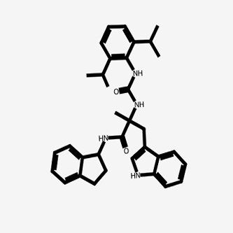 CC(C)c1cccc(C(C)C)c1NC(=O)NC(C)(Cc1c[nH]c2ccccc12)C(=O)NC1CCc2ccccc21